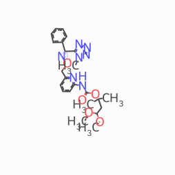 COC(CC(C)(C)OC(=O)Nc1cccc(CO/N=C(/c2ccccc2)c2nnnn2C)n1)OC